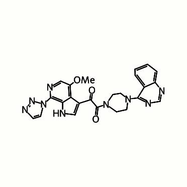 COc1cnc(-n2ccnn2)c2[nH]cc(C(=O)C(=O)N3CCN(c4ncnc5ccccc45)CC3)c12